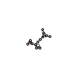 c1ccc(-c2ccc(N(c3ccc(-c4ccccc4)cc3)c3ccc(-c4ccc(-c5ccc(-c6cc(-c7ccc8c(c7)c7ccccc7n8-c7ccccc7)cc(-c7cccc8c7oc7ccccc78)c6)cc5)cc4)cc3)cc2)cc1